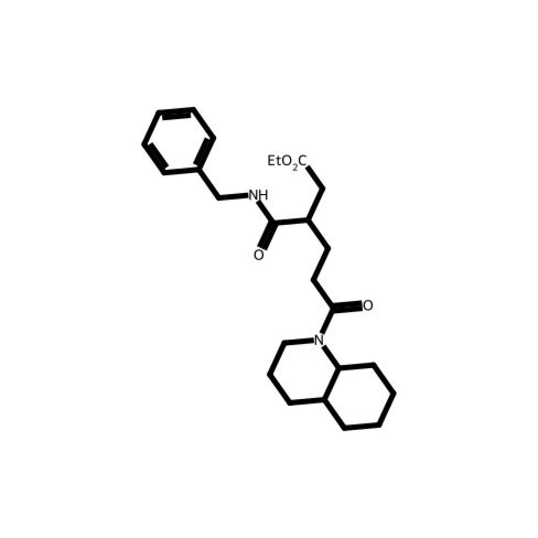 CCOC(=O)CC(CCC(=O)N1CCCC2CCCCC21)C(=O)NCc1ccccc1